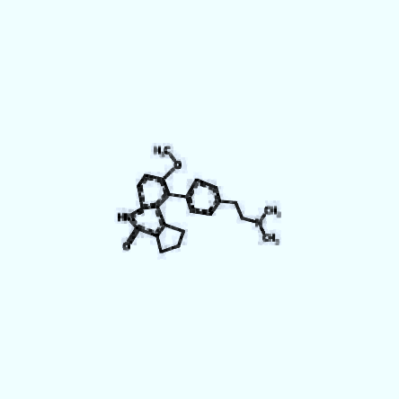 COc1ccc2[nH]c(=O)c3c(c2c1-c1ccc(CCN(C)C)cc1)CCC3